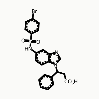 O=C(O)CC(c1ccccc1)n1cnc2cc(NS(=O)(=O)c3ccc(Br)cc3)ccc21